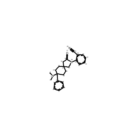 CN(C)C1(c2ccccc2)CCC2(CC1)CC(=O)N(c1ccccc1C#N)C2